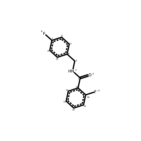 O=C(NCc1ccc(F)cc1)c1ccccc1F